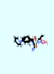 CCC(O)CNS(=O)(=O)/C(C#N)=C/c1ccc(N2CCCCC2)cc1